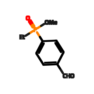 CCP(=O)(OC)c1ccc(C=O)cc1